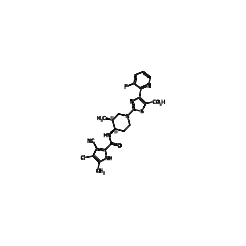 Cc1[nH]c(C(=O)N[C@@H]2CCN(c3nc(-c4ncccc4F)c(C(=O)O)s3)C[C@@H]2C)c(C#N)c1Cl